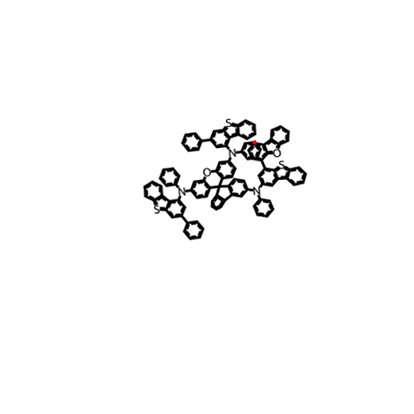 c1ccc(-c2cc(N(c3ccccc3)c3ccc4c(c3)Oc3cc(N(c5ccccc5)c5cc(-c6ccccc6)cc6sc7ccccc7c56)ccc3C43c4ccccc4-c4cc(N(c5ccccc5)c5cc(-c6cccc7c6oc6ccccc67)c6sc7ccccc7c6c5)ccc43)c3c(c2)sc2ccccc23)cc1